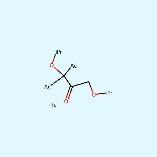 CC(=O)C(OC(C)C)(C(C)=O)C(=O)COC(C)C.[Te]